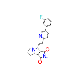 CN1C(=O)C2C(C1=O)C1CCCN1C2/C=C/c1ccc(-c2cccc(F)c2)cn1